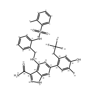 Cc1ccccc1S(=O)(=O)Nc1ccccc1CNc1nc(-c2cc(F)c(O)cc2CC(F)(F)F)nc2[nH]nc(C(N)=O)c12